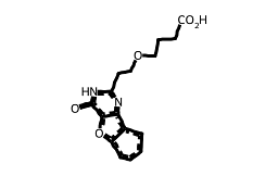 O=C(O)CCCOCCc1nc2c(oc3ccccc32)c(=O)[nH]1